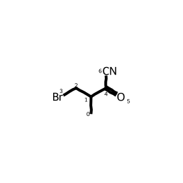 CC(CBr)C(=O)C#N